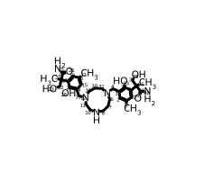 Cc1cc(CN2CCCNCCN(Cc3cc(C)cc(C(C)(CO)C(N)=O)c3O)CCC2)c(O)c(C(C)(CO)C(N)=O)c1